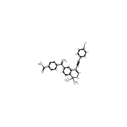 C=C(c1ccc(C(=O)O)cc1)c1ccc2c(c1)C(C#Cc1ccc(F)cc1)=CCC2(C)C